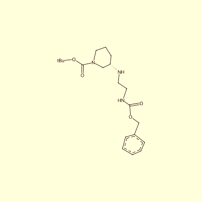 CC(C)(C)OC(=O)N1CCC[C@H](NCCNC(=O)OCc2ccccc2)C1